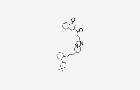 C=C(CC(C)(C)C)C1CCCCC1CCCc1ccc2nc(CCC(=O)C3=CC(=O)C4C=CC=CC4=C3)cn2c1